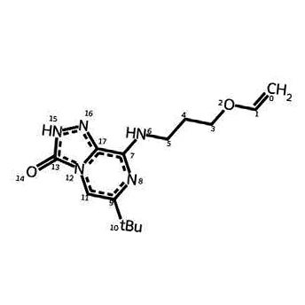 C=COCCCNc1nc(C(C)(C)C)cn2c(=O)[nH]nc12